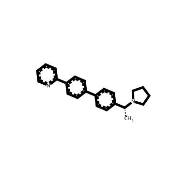 C[C@H](c1ccc(-c2ccc(-c3ccccn3)cc2)cc1)N1CCCC1